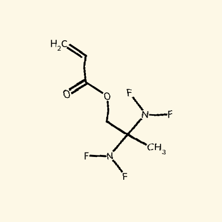 C=CC(=O)OCC(C)(N(F)F)N(F)F